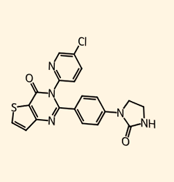 O=C1NCCN1c1ccc(-c2nc3ccsc3c(=O)n2-c2ccc(Cl)cn2)cc1